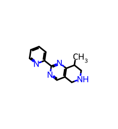 CC1CNCc2cnc(-c3ccccn3)nc21